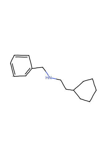 [c]1cccc(CNCCC2CCCCC2)c1